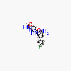 CS(=N)(=O)c1ccc(C(=O)Nc2cc(-c3ccc(F)cc3)ccc2N)nn1